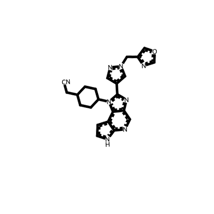 N#CCC1CCC(n2c(-c3cnn(Cc4cocn4)c3)nc3cnc4[nH]ccc4c32)CC1